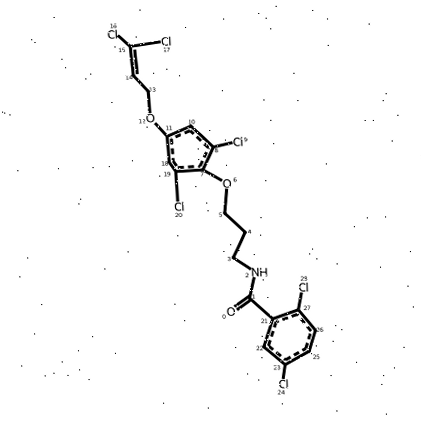 O=C(NCCCOc1c(Cl)cc(OCC=C(Cl)Cl)cc1Cl)c1cc(Cl)ccc1Cl